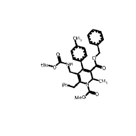 COC(=O)N1C(CC(C)C)=C(CNC(=O)OC(C)(C)C)C(c2ccc(C)cc2)=C(C(=O)OCc2ccccc2)C1C